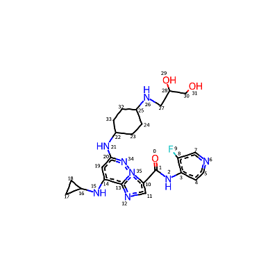 O=C(Nc1ccncc1F)c1cnc2c(NC3CC3)cc(NC3CCC(NCC(O)CO)CC3)nn12